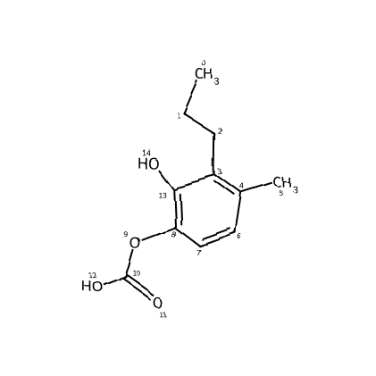 CCCc1c(C)ccc(OC(=O)O)c1O